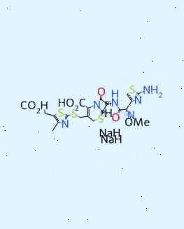 CO/N=C(\C(=O)N[C@@H]1C(=O)N2C(C(=O)O)=C(CSc3nc(C)c(CC(=O)O)s3)CS[C@H]12)c1csc(N)n1.[NaH].[NaH]